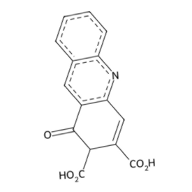 O=C(O)C1=Cc2nc3ccccc3cc2C(=O)C1C(=O)O